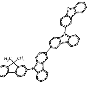 CC1(C)c2ccccc2-c2ccc(-n3c4ccccc4c4cc(-c5ccc6c(c5)c5ccccc5n6-c5ccc6oc7ccccc7c6c5)ccc43)cc21